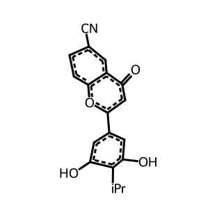 CC(C)c1c(O)cc(-c2cc(=O)c3cc(C#N)ccc3o2)cc1O